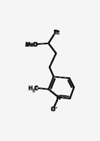 CCC(CCc1ccc[n+]([O-])c1C)OC